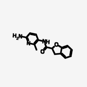 Cc1nc(N)ccc1NC(=O)C1Cc2ccccc2O1